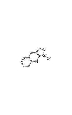 [O-][s+]1ncc2cc3ccccc3nc21